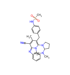 Cc1c(Cc2ccc(NS(C)(=O)=O)cc2)c(N2CCCC2N(C)C)n2c(nc3ccccc32)c1C#N